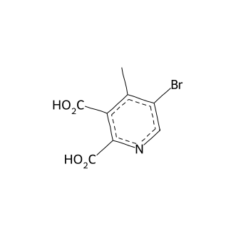 Cc1c(Br)cnc(C(=O)O)c1C(=O)O